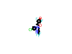 COc1c(F)cc(C(C)C(=O)NCc2cc(C(F)(F)F)nn2-c2cccc(Cl)c2)cc1F